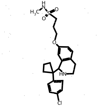 CNS(=O)(=O)CCCOc1ccc2c(c1)C(C1(c3ccc(Cl)cc3)CCC1)NCC2